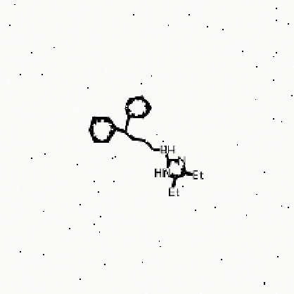 CCc1nc(BCCCC(c2ccccc2)c2ccccc2)[nH]c1CC